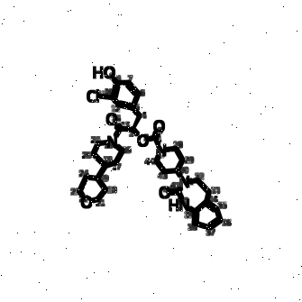 O=C(O[C@H](Cc1ccc(O)c(Cl)c1)C(=O)N1CCC(C2CCOCC2)CC1)N1CCC(N2CCc3ccccc3NC2=O)CC1